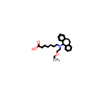 CCOCCN(CCCCCCC(=O)O)C1c2ccccc2CCc2ccccc21